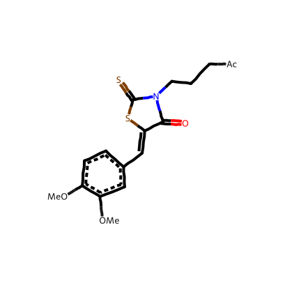 COc1ccc(/C=C2\SC(=S)N(CCCC(C)=O)C2=O)cc1OC